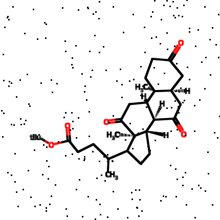 CC(CCC(=O)OC(C)(C)C)C1CC[C@H]2[C@@H]3C(=O)C[C@@H]4CC(=O)CC[C@]4(C)[C@H]3CC(=O)[C@]12C